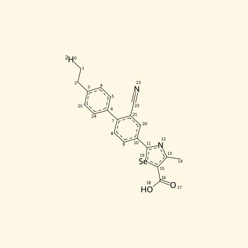 [2H]CCc1ccc(-c2ccc(-c3nc(C)c(C(=O)O)[se]3)cc2C#N)cc1